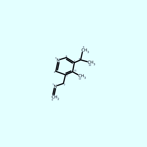 C=NCc1cncc(C(C)C)c1C